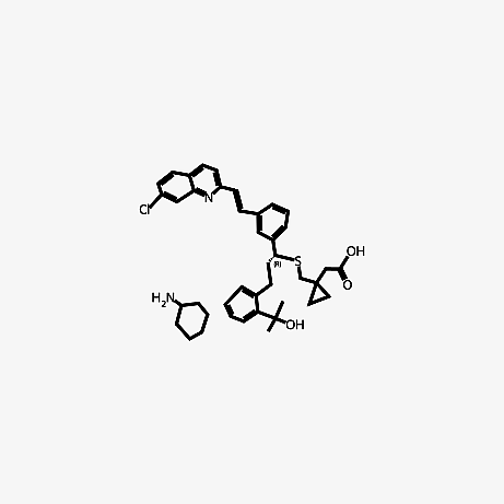 CC(C)(O)c1ccccc1CC[C@@H](SCC1(CC(=O)O)CC1)c1cccc(C=Cc2ccc3ccc(Cl)cc3n2)c1.NC1CCCCC1